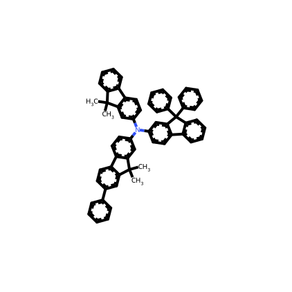 CC1(C)c2ccccc2-c2ccc(N(c3ccc4c(c3)C(C)(C)c3cc(-c5ccccc5)ccc3-4)c3ccc4c(c3)C(c3ccccc3)(c3ccccc3)c3ccccc3-4)cc21